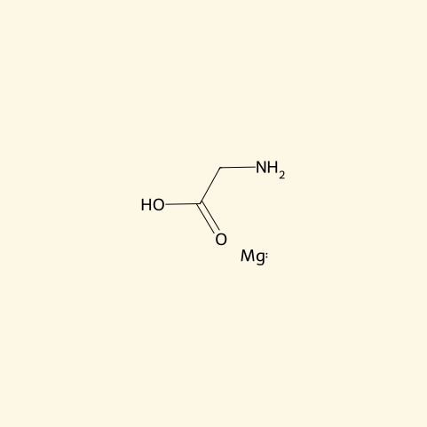 NCC(=O)O.[Mg]